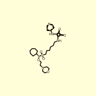 O=c1c(NCCCCCCS(=O)(=O)N(OCCN2CCOCC2)C2CCCCCC2)c(Nc2ccncc2)c1=O